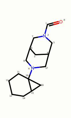 O=CN1CC2CC(C1)CN(C13CCCCC1C3)C2